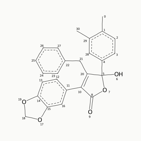 Cc1ccc(C2(O)OC(=O)C(c3ccc4c(c3)OCO4)=C2Cc2ccccc2)cc1C